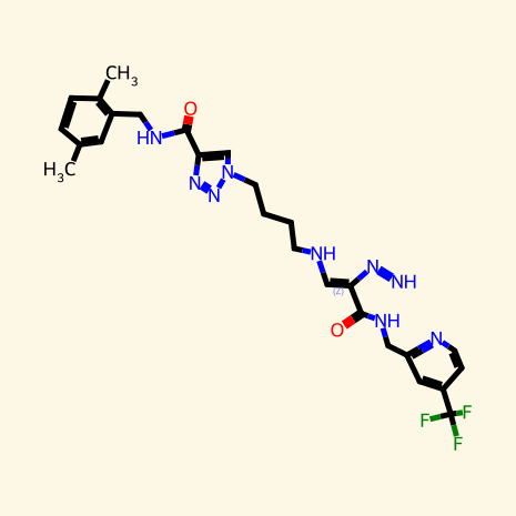 Cc1ccc(C)c(CNC(=O)c2cn(CCCCN/C=C(\N=N)C(=O)NCc3cc(C(F)(F)F)ccn3)nn2)c1